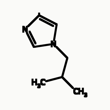 CC(C)Cn1c[c]nc1